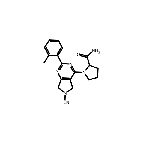 Cc1ccccc1-c1nc2c(c(N3CCCC3C(N)=O)n1)CN(C#N)C2